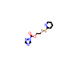 O=C(OCCSSc1ccccn1)n1cncn1